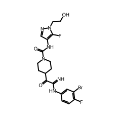 N=C(Nc1ccc(F)c(Br)c1)C(=O)C1CCN(C(=O)Nc2cnn(CCO)c2F)CC1